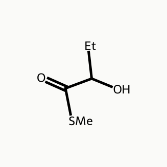 CCC(O)C(=O)SC